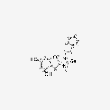 CN1C(=[Se])N(CCc2ccccc2)C(=O)C1=Cc1ccc(O)cc1O